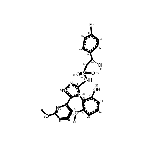 COC1=NC(c2nnc(NS(=O)(=O)C[C@@H](O)c3ccc(F)cc3)n2-c2c(O)cccc2OC)=C=C=C1